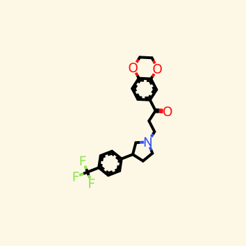 O=C(CCN1CCC(c2ccc(C(F)(F)F)cc2)C1)c1ccc2c(c1)OCCO2